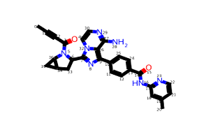 CC#CC(=O)N1C(c2nc(-c3ccc(C(=O)Nc4cc(C)ccn4)cc3)c3c(N)nccn23)CC2CC21